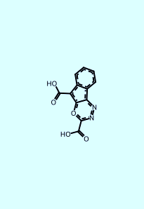 O=C(O)c1nnc2c3ccccc3c(C(=O)O)c-2o1